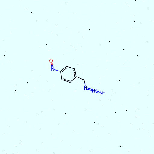 [N-]=[N+]=NCc1ccc(N=O)cc1